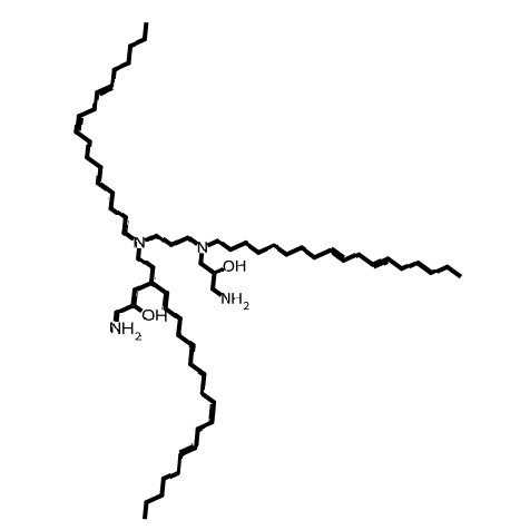 CCCCCC=CCC=CCCCCCCCCN(CCCN(CCCCCCCC/C=C\CC=CCCCCC)CCC(CCCCCCCC/C=C\CC=CCCCCC)CC(O)CN)CC(O)CN